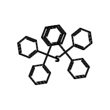 c1ccc(C(SC(c2ccccc2)(c2ccccc2)c2ccccc2)(c2ccccc2)c2ccccc2)cc1